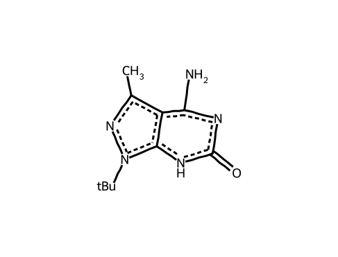 Cc1nn(C(C)(C)C)c2[nH]c(=O)nc(N)c12